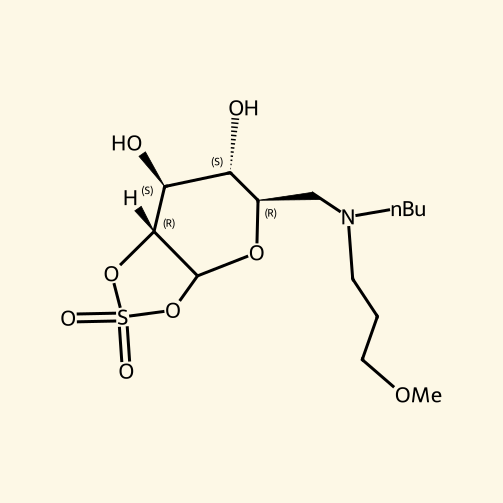 CCCCN(CCCOC)C[C@H]1OC2OS(=O)(=O)O[C@@H]2[C@@H](O)[C@@H]1O